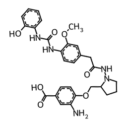 COc1cc(CC(=O)NN2CCCC2COc2ccc(C(=O)O)cc2N)ccc1NC(=O)Nc1ccccc1O